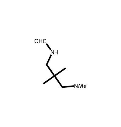 CNCC(C)(C)CNC=O